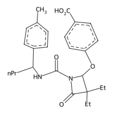 CCCC(NC(=O)N1C(=O)C(CC)(CC)C1Oc1ccc(C(=O)O)cc1)c1ccc(C)cc1